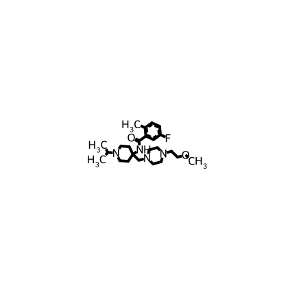 COCCN1CCN(CC2(NC(=O)c3cc(F)ccc3C)CCN(C(C)C)CC2)CC1